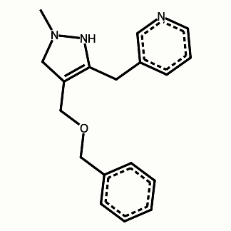 CN1CC(COCc2ccccc2)=C(Cc2cccnc2)N1